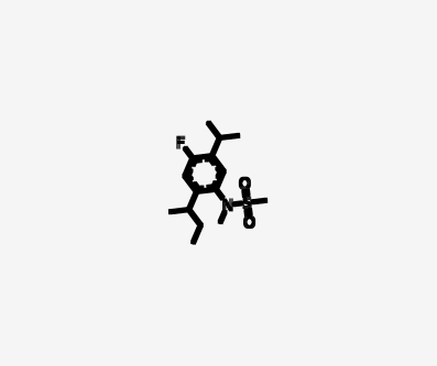 CCC(C)c1cc(F)c(C(C)C)cc1N(C)S(C)(=O)=O